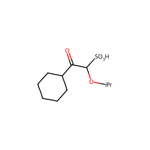 CC(C)OC(C(=O)C1CCCCC1)S(=O)(=O)O